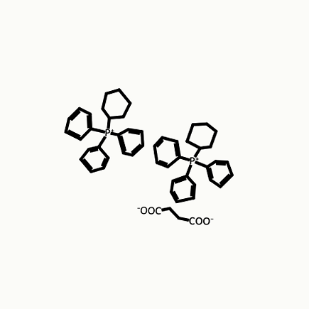 O=C([O-])CCC(=O)[O-].c1ccc([P+](c2ccccc2)(c2ccccc2)C2CCCCC2)cc1.c1ccc([P+](c2ccccc2)(c2ccccc2)C2CCCCC2)cc1